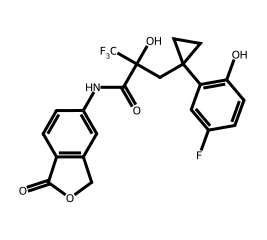 O=C1OCc2cc(NC(=O)C(O)(CC3(c4cc(F)ccc4O)CC3)C(F)(F)F)ccc21